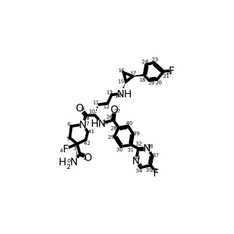 NC(=O)C1(F)CCN(C(=O)[C@H](CCCN[C@@H]2C[C@H]2c2ccc(F)cc2)NC(=O)c2ccc(-c3ncc(F)cn3)cc2)CC1